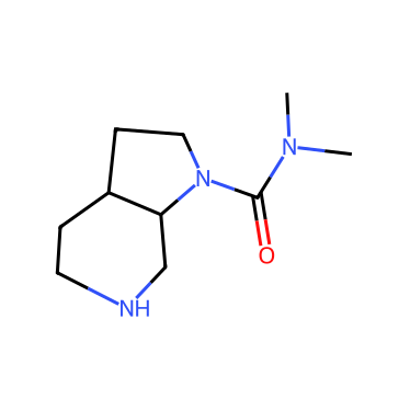 CN(C)C(=O)N1CCC2CCNCC21